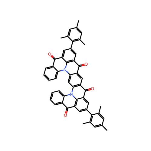 Cc1cc(C)c(-c2cc3c(=O)c4ccccc4n4c5cc6c(cc5c(=O)c(c2)c34)c(=O)c2cc(-c3c(C)cc(C)cc3C)cc3c(=O)c4ccccc4n6c32)c(C)c1